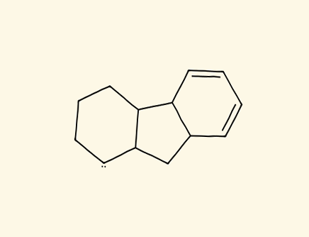 [C]1CCCC2C1CC1C=CC=CC12